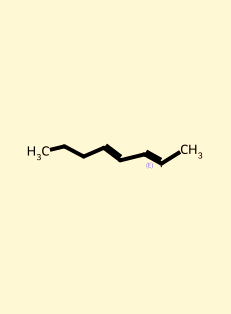 C/[C]=C/C=CCCC